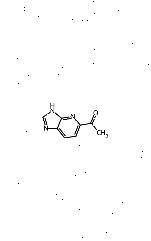 CC(=O)c1ccc2nc[nH]c2n1